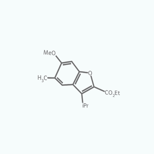 CCOC(=O)c1oc2cc(OC)c(C)cc2c1C(C)C